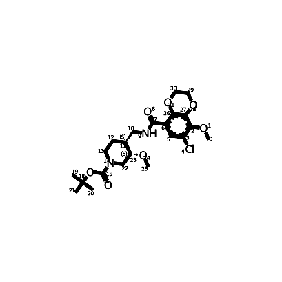 COc1c(Cl)cc(C(=O)NC[C@@H]2CCN(C(=O)OC(C)(C)C)C[C@H]2OC)c2c1OCCO2